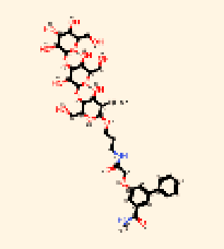 CC(=O)NC1C(OCCCNC(=O)COc2cc(C(=O)NC(C)C)cc(-c3ccccc3)c2)OC(CO)C(OC2OC(CO)C(O)C(OC3OC(CO)C(O)C(O)C3O)C2O)C1O